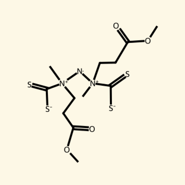 COC(=O)CC[N+](C)([N][N+](C)(CCC(=O)OC)C(=S)[S-])C(=S)[S-]